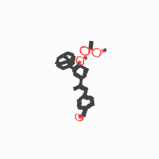 COC(C)OCOc1ccc(C(C)=Cc2ccc(C=O)cc2)cc1C12CC3CC(CC(C3)C1)C2